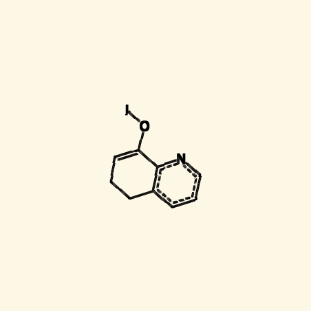 IOC1=CCCc2cccnc21